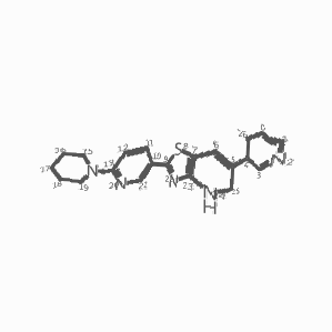 C1=CN=CC(C2=Cc3sc(-c4ccc(N5CCCCC5)nc4)nc3NC2)C1